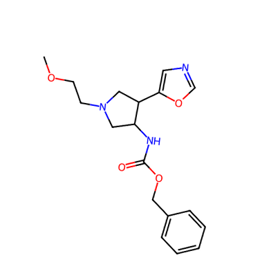 COCCN1CC(NC(=O)OCc2ccccc2)C(c2cnco2)C1